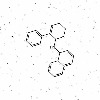 C1=CC2=CC=CC(NC3CCCC=C3c3ccccc3)C2C=C1